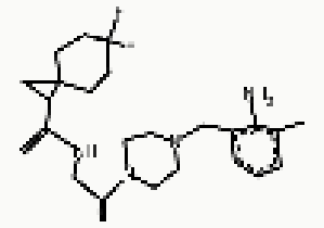 C=C(NCC(=C)N1CCN(Cc2cccc(C)c2N)CC1)C1CC12CCC(F)(F)CC2